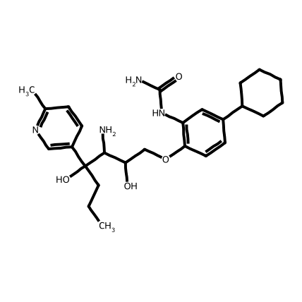 CCCC(O)(c1ccc(C)nc1)C(N)C(O)COc1ccc(C2CCCCC2)cc1NC(N)=O